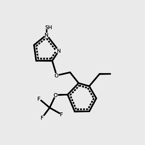 CCc1cccc(OC(F)(F)F)c1COc1ccn(S)n1